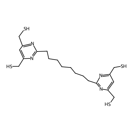 SCc1cc(CS)nc(CCCCCCCCc2nc(CS)cc(CS)n2)n1